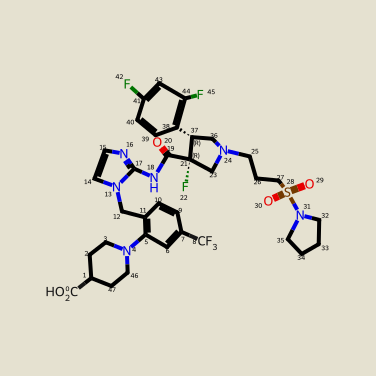 O=C(O)C1CCN(c2cc(C(F)(F)F)ccc2Cn2ccnc2NC(=O)[C@]2(F)CN(CCCS(=O)(=O)N3CCCC3)C[C@H]2c2ccc(F)cc2F)CC1